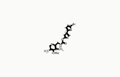 COc1c(C)cnc(CNC(=O)Oc2cc(-c3ccc(C(C)=O)s3)cs2)c1C